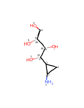 NC1CC1[C@H](O)[C@@H](O)[C@H](O)CO